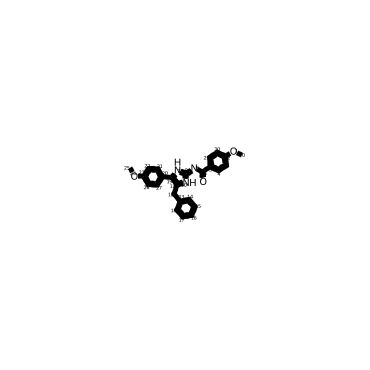 COc1ccc(C(=O)/N=c2\[nH]c(Cc3ccccc3)c(-c3ccc(OC)cc3)[nH]2)cc1